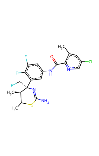 Cc1cc(Cl)cnc1C(=O)Nc1cc(F)c(F)c([C@@]2(CF)N=C(N)SC(C)[C@H]2C)c1